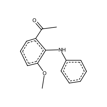 COc1cccc(C(C)=O)c1Nc1ccccc1